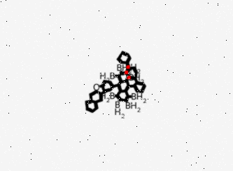 Bc1c(B)c(B)c2c(-c3ccccc3-c3ccc(-c4ccccc4)cc3)c3c(B)c(B)c(B)c(B)c3c(-c3ccc4oc5cc6ccccc6cc5c4c3)c2c1B